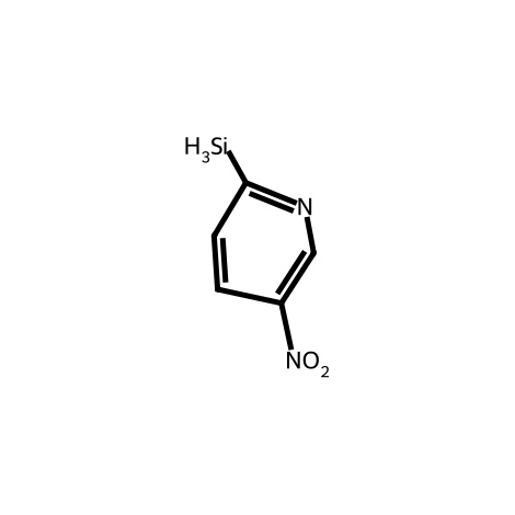 O=[N+]([O-])c1ccc([SiH3])nc1